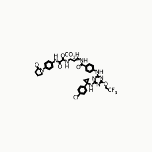 O=C(NCC[C@H](NC(=O)c1ccc(Nc2nc(NC3(c4ccc(Cl)cc4)CC3)nc(OCC(F)(F)F)n2)cc1)C(=O)O)C(=O)Nc1ccc(N2CCCC2=O)cc1